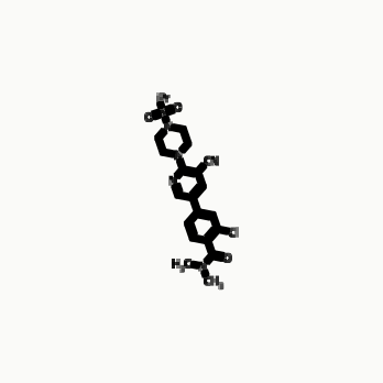 CC(C)S(=O)(=O)N1CCN(c2ncc(-c3ccc(C(=O)N(C)C)c(Cl)c3)cc2C#N)CC1